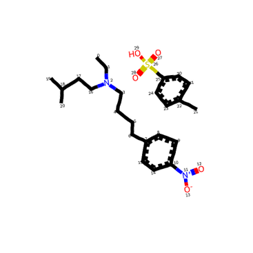 CCN(CCCCc1ccc([N+](=O)[O-])cc1)CCC(C)C.Cc1ccc(S(=O)(=O)O)cc1